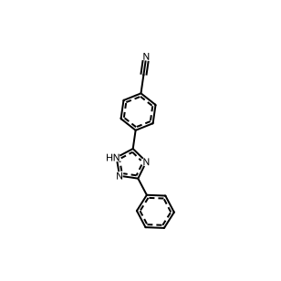 N#Cc1ccc(-c2nc(-c3ccccc3)n[nH]2)cc1